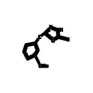 COc1cccc(Cc2n[nH]c(=S)o2)c1